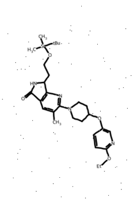 CCOc1ccc(OC2CCN(c3nc4c(cc3C)C(=O)NC4CCO[Si](C)(C)C(C)(C)C)CC2)cn1